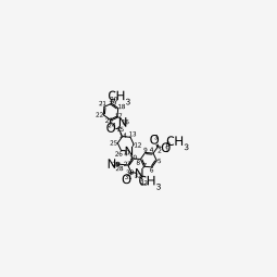 COC(=O)c1ccc2c(c1)c(N1CCC(c3nc4cc(C)ccc4o3)CC1)c(C#N)c(=O)n2C